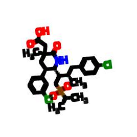 CC(C)S(=O)(=O)CC([C@H]1NC(=O)[C@@](C)(CC(=O)O)C[C@@H]1c1cccc(Cl)c1)[C@@H](C)Cc1ccc(Cl)cc1